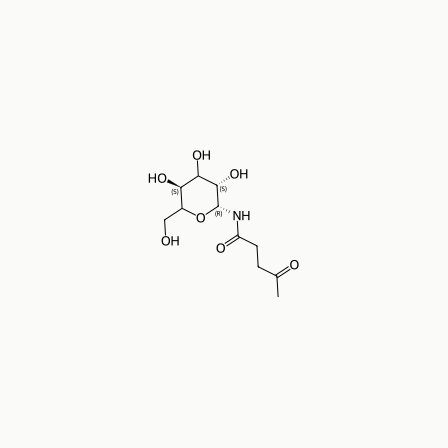 CC(=O)CCC(=O)N[C@@H]1OC(CO)[C@@H](O)C(O)[C@@H]1O